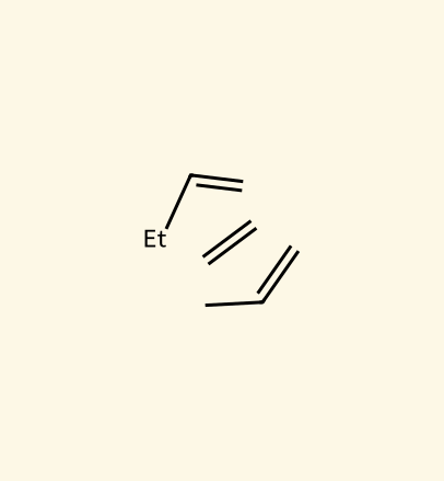 C=C.C=CC.C=CCC